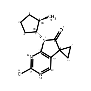 C[C@@H]1CCC[C@H]1N1C(=O)C2(CC2)c2cnc(Cl)nc21